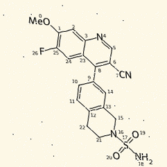 COc1cc2ncc(C#N)c(-c3ccc4c(c3)CN(S(N)(=O)=O)CC4)c2cc1F